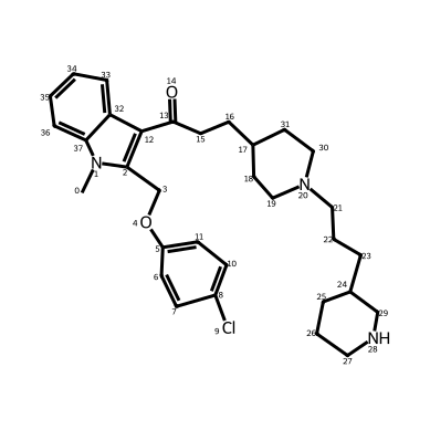 Cn1c(COc2ccc(Cl)cc2)c(C(=O)CCC2CCN(CCCC3CCCNC3)CC2)c2ccccc21